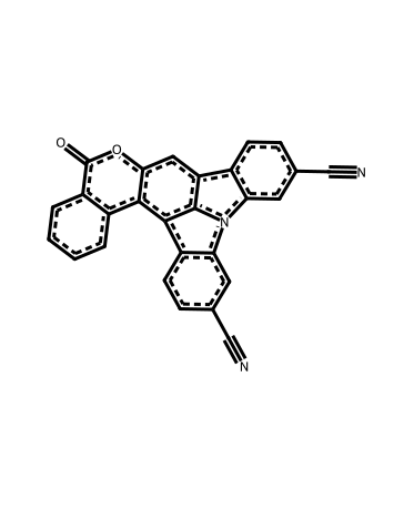 N#Cc1ccc2c3cc4oc(=O)c5ccccc5c4c4c5ccc(C#N)cc5n(c2c1)c34